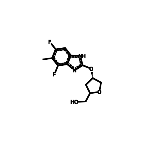 Cc1c(F)cc2[nH]c(O[C@@H]3COC(CO)C3)nc2c1F